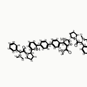 CNC(=O)c1nc([C@@H]2CCCN2C(=O)[C@@H](c2ccccc2)N(C)C)[nH]c1-c1ccc(-c2ccc(C3=CC=C=C(C4CCCN4C(=O)[C@@H](c4ccccc4)N(C)C)N3)cc2)cc1